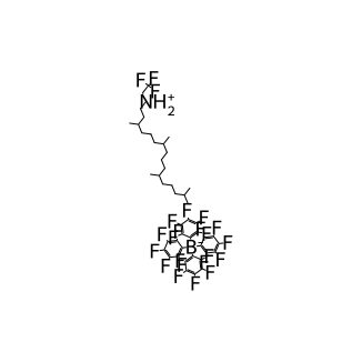 CC(C)CCCC(C)CCCC(C)CCCC(C)CC[NH2+]CC(F)(F)F.Fc1c(F)c(F)c([B-](c2c(F)c(F)c(F)c(F)c2F)(c2c(F)c(F)c(F)c(F)c2F)c2c(F)c(F)c(F)c(F)c2F)c(F)c1F